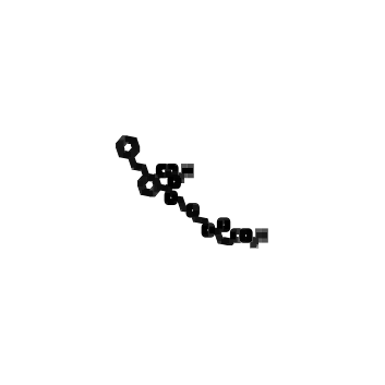 O=C(O)/C=C\C(=O)OCCOCCOC(=O)c1cccc(C=Cc2ccccc2)c1C(=O)O